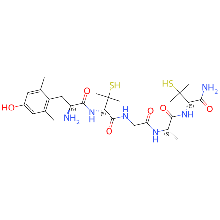 Cc1cc(O)cc(C)c1C[C@H](N)C(=O)N[C@@H](C(=O)NCC(=O)N[C@@H](C)C(=O)N[C@@H](C(N)=O)C(C)(C)S)C(C)(C)S